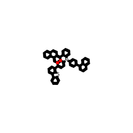 c1ccc(N(c2ccc(-c3cccc4ccccc34)cc2)c2ccc(-c3cccc4c3sc3ccccc34)cc2)c(-c2cccc3c2ccc2ccccc23)c1